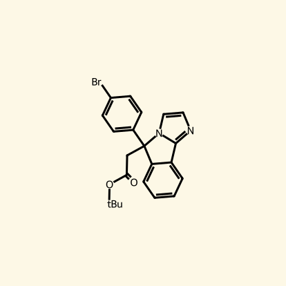 CC(C)(C)OC(=O)CC1(c2ccc(Br)cc2)c2ccccc2-c2nccn21